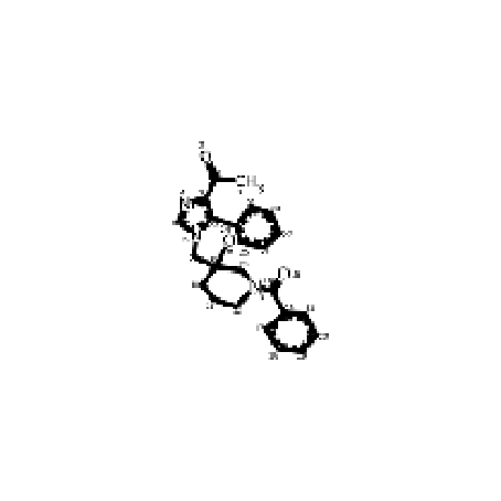 CC(=O)c1ncn(CC2(O)CCCN(C(=O)c3ccccc3)C2)c1-c1ccccc1